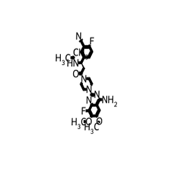 COc1cc2c(N)nc(N3CCN(C(=O)C[C@@H](NC(C)C)c4ccc(F)c(C#N)c4)CC3)nc2c(F)c1OC